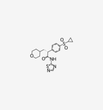 O=C(Nc1ncns1)[C@H](CC1CCOCC1)c1ccc(S(=O)(=O)C2CC2)cc1